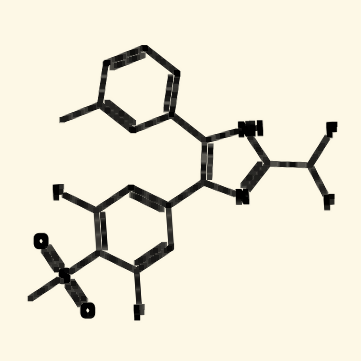 Cc1cccc(-c2[nH]c(C(F)F)nc2-c2cc(F)c(S(C)(=O)=O)c(F)c2)c1